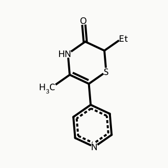 CCC1SC(c2ccncc2)=C(C)NC1=O